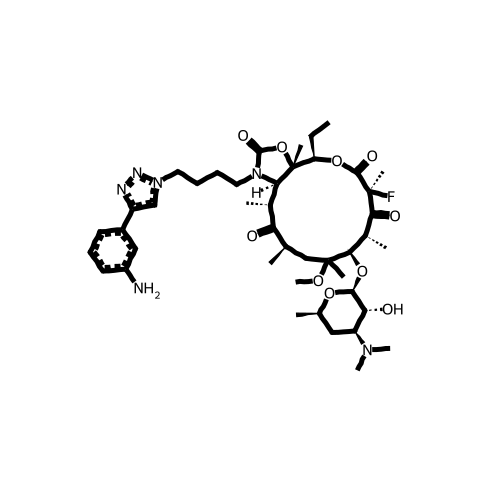 CC[C@H]1OC(=O)[C@@](C)(F)C(=O)[C@H](C)[C@@H](O[C@@H]2O[C@H](C)C[C@H](N(C)C)[C@H]2O)C(C)(OC)C[C@@H](C)C(=O)[C@H](C)[C@H]2N(CCCCn3cc(-c4cccc(N)c4)nn3)C(=O)O[C@]12C